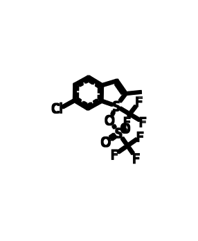 CC1=Cc2ccc(Cl)cc2S1(OS(=O)(=O)C(F)(F)F)C(F)(F)F